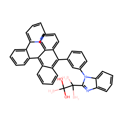 BC(O)(O)C(B)(B)c1nc2ccccc2n1-c1cccc(-c2c3ccccc3c(-c3ccccc3-c3ccccn3)c3ccccc23)c1